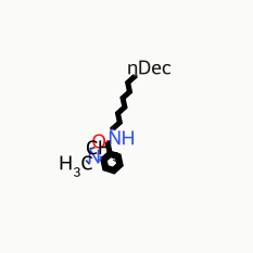 CCCCCCCCCCCCCCCCCCNC(=O)c1ccccc1N(C)C